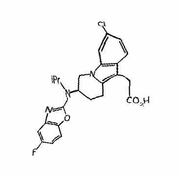 CC(C)N(c1nc2cc(F)ccc2o1)C1CCc2c(CC(=O)O)c3ccc(Cl)cc3n2C1